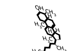 CC(C)CCC[C@@H](C)[C@H]1CC[C@H]2C3=CC[C@H]4[C@H](C)[C@@H](O)CC[C@]4(C)[C@H]3CC[C@]12C